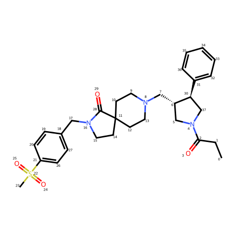 CCC(=O)N1C[C@H](CN2CCC3(CC2)CCN(Cc2ccc(S(C)(=O)=O)cc2)C3=O)[C@@H](c2ccccc2)C1